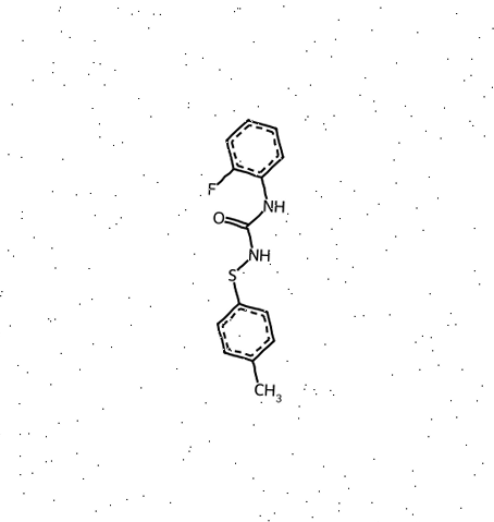 Cc1ccc(SNC(=O)Nc2ccccc2F)cc1